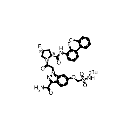 CC(C)(C)NS(=O)(=O)COc1ccc2c(C(N)=O)nn(CC(=O)N3C[C@H](F)C[C@H]3C(=O)Nc3cccc(-c4ccccc4Cl)c3F)c2c1